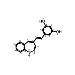 Oc1cc(O)cc(C=CC2=Cc3ccccc3NN=C2)c1